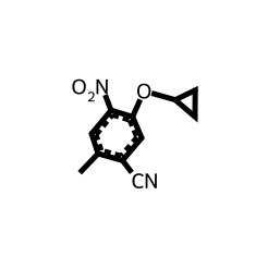 Cc1cc([N+](=O)[O-])c(OC2CC2)cc1C#N